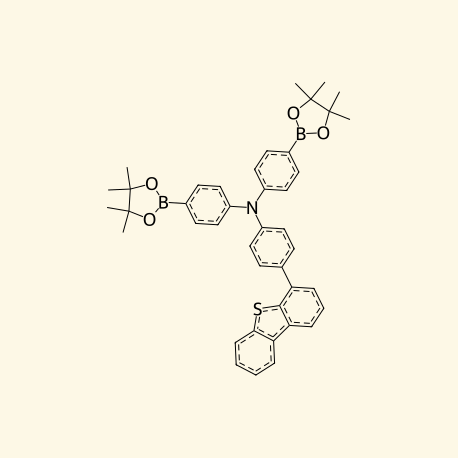 CC1(C)OB(c2ccc(N(c3ccc(B4OC(C)(C)C(C)(C)O4)cc3)c3ccc(-c4cccc5c4sc4ccccc45)cc3)cc2)OC1(C)C